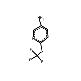 Nc1ccc(SC(F)(F)F)nc1